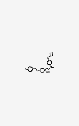 CN(CCC1(O)CCN(CCc2ccc(F)cc2)CC1)c1ccc(OC2CCC2)cc1